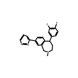 CN1CCC(c2ccc(F)c(F)c2)c2ccc(-c3cccnn3)cc2C1